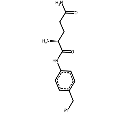 CC(C)Cc1ccc(NC(=O)[C@@H](N)CCC(N)=O)cc1